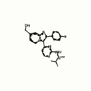 CC(C)[C@H](C)Nc1nccc(-c2c(-c3ccc(F)cc3)nc3cc(CO)ccn23)n1